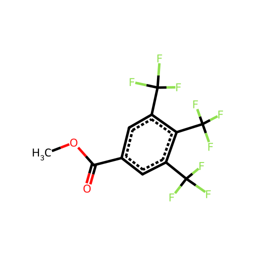 COC(=O)c1cc(C(F)(F)F)c(C(F)(F)F)c(C(F)(F)F)c1